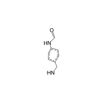 [NH]Cc1ccc(NC=O)cc1